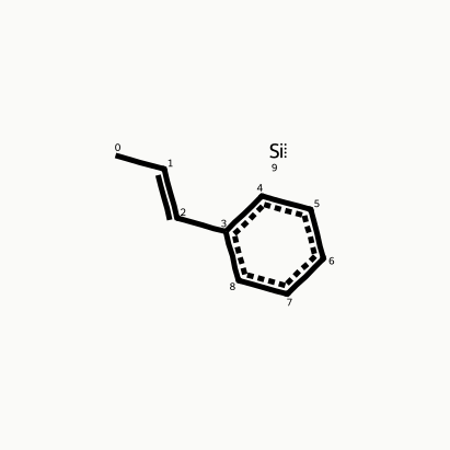 CC=Cc1ccccc1.[Si]